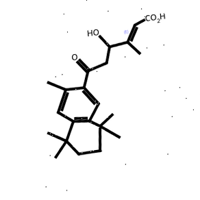 C/C(=C\C(=O)O)C(O)CC(=O)c1cc2c(cc1C)C(C)(C)CCC2(C)C